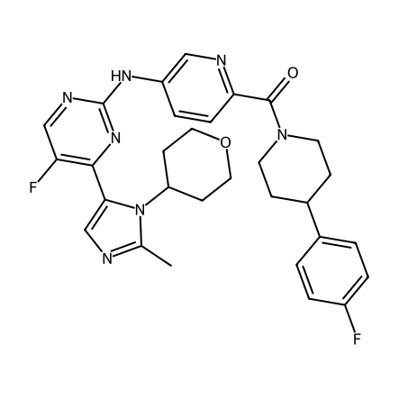 Cc1ncc(-c2nc(Nc3ccc(C(=O)N4CCC(c5ccc(F)cc5)CC4)nc3)ncc2F)n1C1CCOCC1